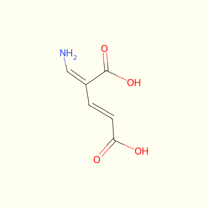 NC=C(C=CC(=O)O)C(=O)O